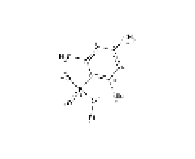 CCOP(=O)(O)c1c(C)cc(C)cc1C(C)(C)C